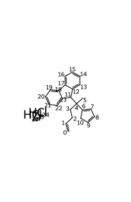 C=CCCC(C)(C1=CC=CC1)C1c2ccccc2-c2ccccc21.Cl.Cl.[Zr]